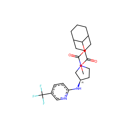 COC(=O)C1CC2CCCC(C1)C2OC(=O)N1CC[C@@H](Nc2ccc(C(F)(F)F)cn2)C1